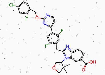 CC1(C)COC[C@H]1n1c(Cc2cc(F)c(-c3ccnc(OCc4ccc(Cl)cc4F)n3)cc2F)nc2ccc(C(=O)O)cc21